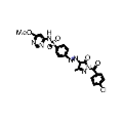 COc1cc(NS(=O)(=O)c2ccc(/N=N/C3C(=O)N(C(=O)c4ccc(Cl)cc4)N=C3C)cc2)ncn1